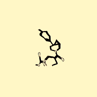 CCC(CNC(=O)OC)C(=O)N1CCC2(c3ccc(C)cc3)CC2C1